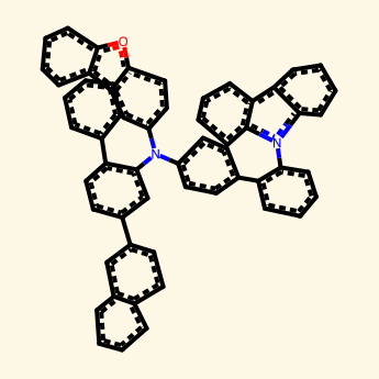 c1ccc(-c2ccc(-c3ccc4ccccc4c3)cc2N(c2ccc(-c3ccccc3-n3c4ccccc4c4ccccc43)cc2)c2ccc3oc4ccccc4c3c2)cc1